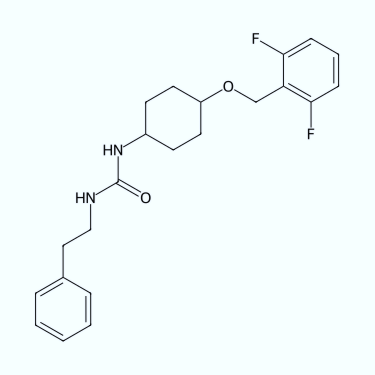 O=C(NCCc1ccccc1)NC1CCC(OCc2c(F)cccc2F)CC1